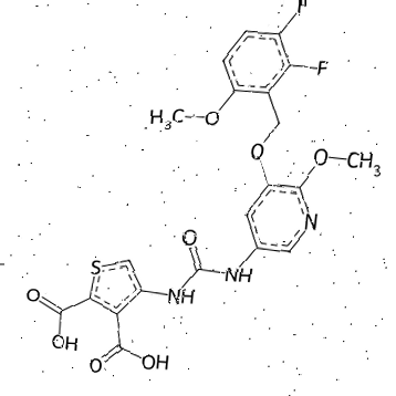 COc1ccc(F)c(F)c1COc1cc(NC(=O)Nc2csc(C(=O)O)c2C(=O)O)cnc1OC